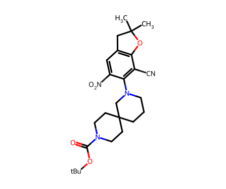 CC(C)(C)OC(=O)N1CCC2(CCCN(c3c([N+](=O)[O-])cc4c(c3C#N)OC(C)(C)C4)C2)CC1